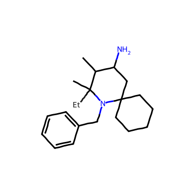 CCC1(C)C(C)C(N)CC2(CCCCC2)N1Cc1ccccc1